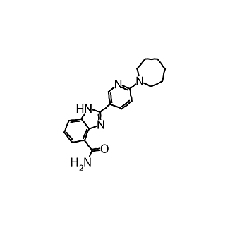 NC(=O)c1cccc2[nH]c(-c3ccc(N4CCCCCC4)nc3)nc12